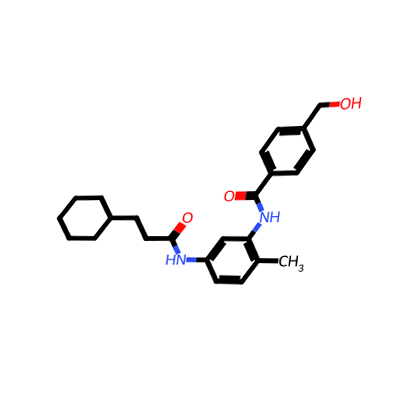 Cc1ccc(NC(=O)CCC2CCCCC2)cc1NC(=O)c1ccc(CO)cc1